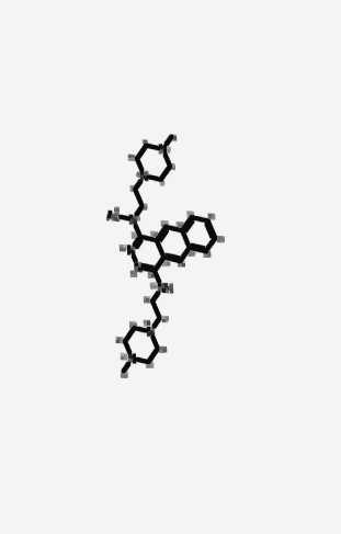 CC(=O)N(CCN1CCN(C)CC1)c1nnc(NCCN2CCN(C)CC2)c2cc3ccccc3cc12